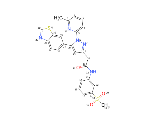 Cc1cccc(-n2nc(CC(=O)Nc3cccc(S(C)(=O)=O)c3)cc2-c2ccc3ncsc3c2)n1